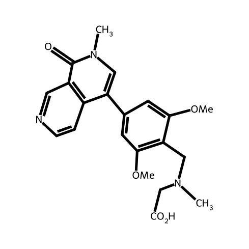 COc1cc(-c2cn(C)c(=O)c3cnccc23)cc(OC)c1CN(C)CC(=O)O